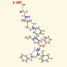 Cc1cc(C(=O)N2CCN(Cc3ccccc3)C[C@H]2Cc2ccccc2)c(-c2ccccc2)n1-c1cccc(N2CCC(C(=O)NCCCCO)CC2)c1